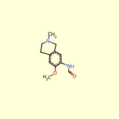 COc1cc2c(cc1NC=O)CN(C)CC2